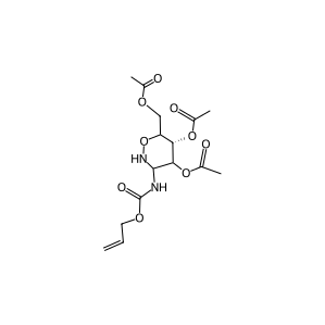 C=CCOC(=O)NC1NOC(COC(C)=O)[C@H](OC(C)=O)C1OC(C)=O